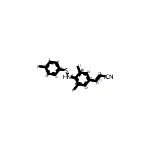 Cc1ccc(SNc2c(C)cc(/C=C/C#N)cc2C)cc1